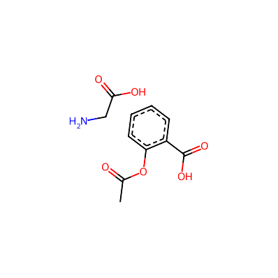 CC(=O)Oc1ccccc1C(=O)O.NCC(=O)O